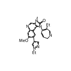 CCC1=C(n2c(=O)n(C)c3cnc4cc(OC)c(-c5cnn(CC)c5)cc4c32)C=CCN=C1